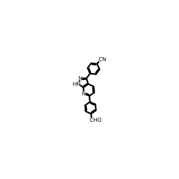 N#Cc1ccc(-c2n[nH]c3nc(-c4ccc(C=O)cc4)ccc23)cc1